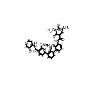 COc1nc(-c2cccc(-c3cccc(NC(=O)c4cn(C)c(=O)n(C)c4=O)c3C)c2Cl)ccc1CN[C@H]1CCOC[C@H]1O